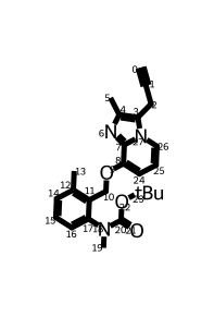 C#CCc1c(C)nc2c(OCc3c(C)cccc3N(C)C(=O)OC(C)(C)C)cccn12